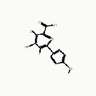 CNc1ccc(-c2nc(C(=O)O)c(Cl)c(N)c2F)cc1